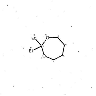 CCC1(CC)OCCCCO1